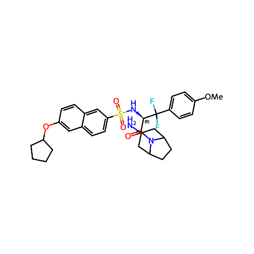 COc1ccc(C(F)(F)[C@H](NS(=O)(=O)c2ccc3cc(OC4CCCC4)ccc3c2)C(=O)N2C3CCC2CC(N)C3)cc1